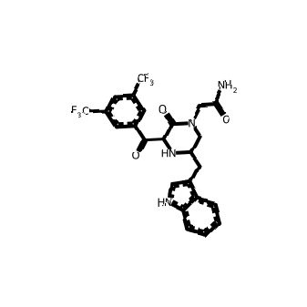 NC(=O)CN1CC(Cc2c[nH]c3ccccc23)NC(C(=O)c2cc(C(F)(F)F)cc(C(F)(F)F)c2)C1=O